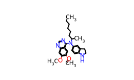 CCCCCCC(C)N(c1ccc2c(c1)CCN2)c1ncnc2cc(OC)c(OC)cc12